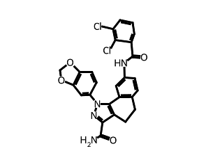 NC(=O)c1nn(-c2ccc3c(c2)OCO3)c2c1CCc1ccc(NC(=O)c3cccc(Cl)c3Cl)cc1-2